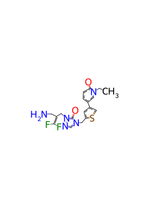 CCn1cc(-c2csc(Cn3cnn(CC(CN)=C(F)F)c3=O)c2)ccc1=O